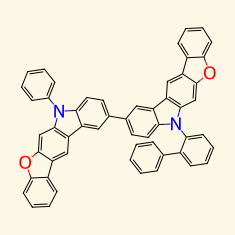 c1ccc(-c2ccccc2-n2c3ccc(-c4ccc5c(c4)c4cc6c(cc4n5-c4ccccc4)oc4ccccc46)cc3c3cc4c(cc32)oc2ccccc24)cc1